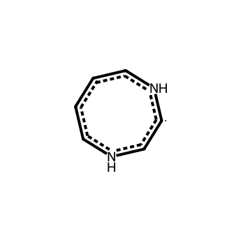 [c]1c[nH]cccc[nH]1